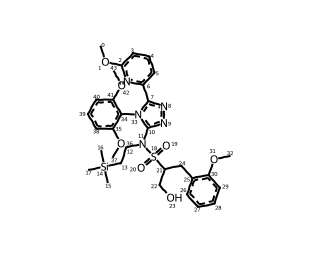 COc1cccc(-c2nnc(N(CC[Si](C)(C)C)S(=O)(=O)C(CO)Cc3ccccc3OC)n2-c2c(OC)cccc2OC)n1